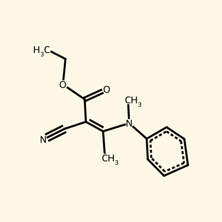 CCOC(=O)/C(C#N)=C(/C)N(C)c1ccccc1